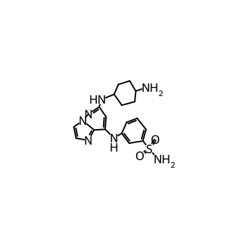 NC1CCC(Nc2cc(Nc3cccc(S(N)(=O)=O)c3)c3nccn3n2)CC1